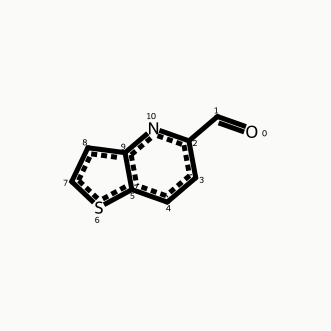 O=Cc1ccc2sccc2n1